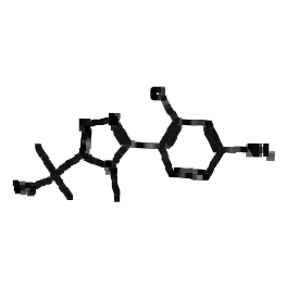 Cn1c(-c2ccc(N)cc2Cl)nnc1C(C)(C)O